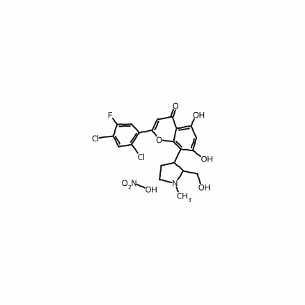 CN1CCC(c2c(O)cc(O)c3c(=O)cc(-c4cc(F)c(Cl)cc4Cl)oc23)C1CO.O=[N+]([O-])O